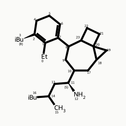 CCC1=C([C@H](C)CC)CCC=C1C1CC([C@@H](N)CC(C)C(C)CC)CC2CC23CCC13